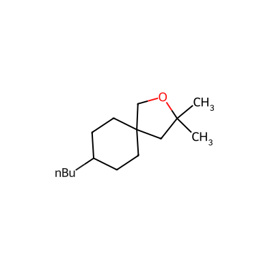 CCCCC1CCC2(CC1)COC(C)(C)C2